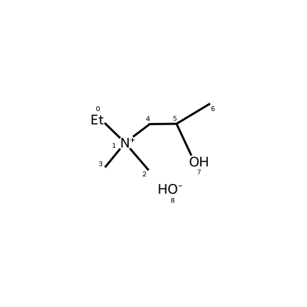 CC[N+](C)(C)CC(C)O.[OH-]